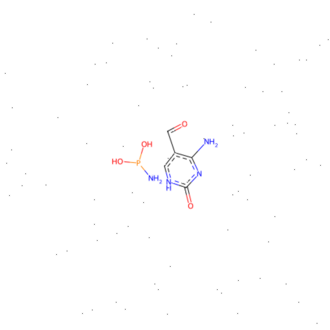 NP(O)O.Nc1nc(=O)[nH]cc1C=O